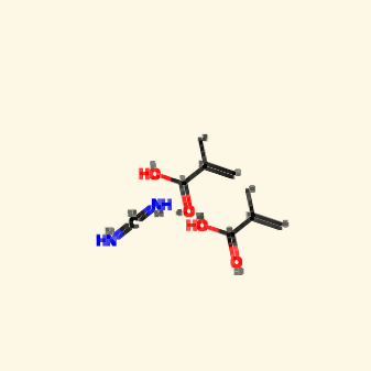 C=C(C)C(=O)O.C=C(C)C(=O)O.N=C=N